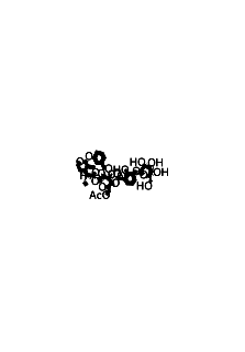 C=C[C@H]1[C@H](O[C@@H]2O[C@H](COC(C)=O)[C@@H](OC(=O)c3cccc(O[C@@H]4O[C@H](CO)[C@@H](O)[C@H](O)[C@H]4O)c3O)[C@H](OC(C)=O)[C@H]2OC(=O)c2ccccc2)OC=C2C(=O)OCC[C@H]21